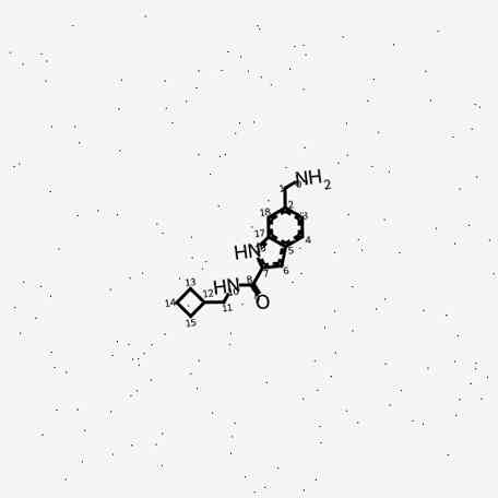 NCc1ccc2cc(C(=O)NCC3CCC3)[nH]c2c1